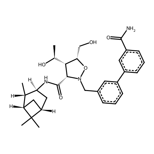 C[C@@H]1[C@@H](NC(=O)[C@@H]2[C@H]([C@H](C)O)[C@H](CO)ON2Cc2cccc(-c3cccc(C(N)=O)c3)c2)C[C@H]2C[C@@H]1C2(C)C